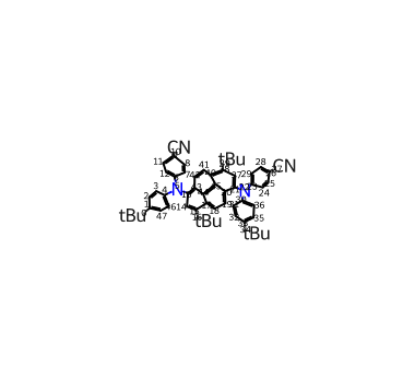 CC(C)(C)c1ccc(N(c2ccc(C#N)cc2)c2cc(C(C)(C)C)c3ccc4c(N(c5ccc(C#N)cc5)c5ccc(C(C)(C)C)cc5)cc(C(C)(C)C)c5ccc2c3c45)cc1